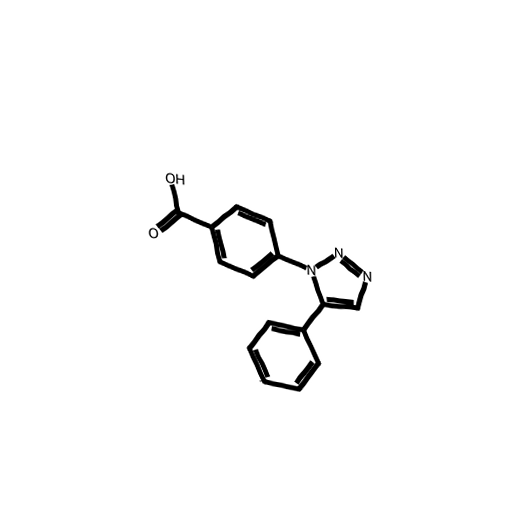 O=C(O)c1ccc(-n2nncc2-c2cc[c]cc2)cc1